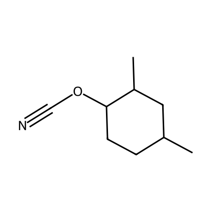 CC1CCC(OC#N)C(C)C1